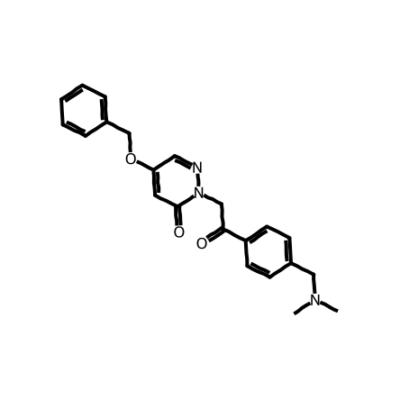 CN(C)Cc1ccc(C(=O)Cn2ncc(OCc3ccccc3)cc2=O)cc1